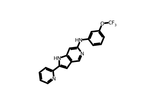 FC(F)(F)Oc1cccc(Nc2cc3[nH]c(-c4ccccn4)cc3cn2)c1